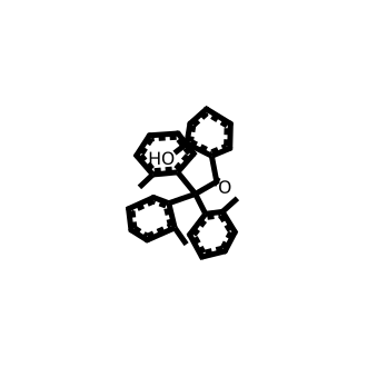 Cc1ccccc1C(C(=O)c1ccccc1O)(c1ccccc1C)c1ccccc1C